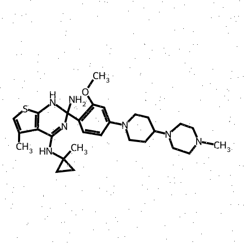 COc1cc(N2CCC(N3CCN(C)CC3)CC2)ccc1C1(N)N=C(NC2(C)CC2)c2c(C)csc2N1